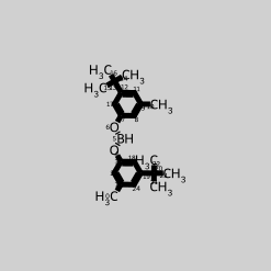 Cc1cc(OBOc2cc(C)cc(C(C)(C)C)c2)cc(C(C)(C)C)c1